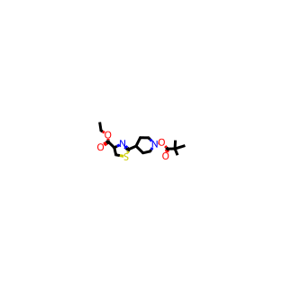 CCOC(=O)C1CSC(C2CCN(OC(=O)C(C)(C)C)CC2)=N1